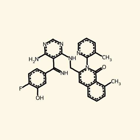 Cc1cccnc1-n1c(CNc2ncnc(N)c2C(=N)c2ccc(F)c(O)c2)cc2cccc(C)c2c1=O